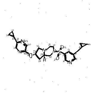 O=S(=O)(c1cncc(C2CC2)c1)N1CCN2C[C@@H](Oc3cnc(C4CC4)cn3)C[C@H]2C1